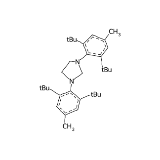 Cc1cc(C(C)(C)C)c(N2CCN(c3c(C(C)(C)C)cc(C)cc3C(C)(C)C)C2)c(C(C)(C)C)c1